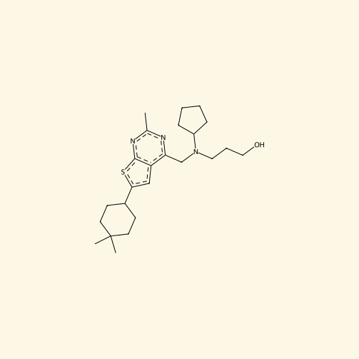 Cc1nc(CN(CCCO)C2CCCC2)c2cc(C3CCC(C)(C)CC3)sc2n1